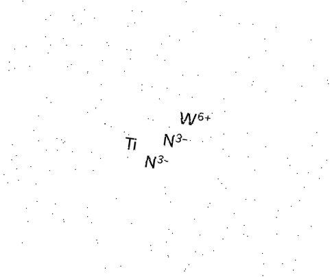 [N-3].[N-3].[Ti].[W+6]